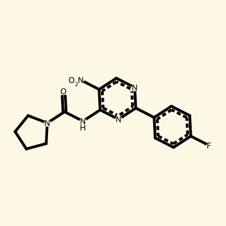 O=C(Nc1nc(-c2ccc(F)cc2)ncc1[N+](=O)[O-])N1CCCC1